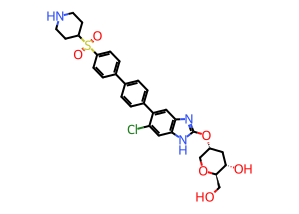 O=S(=O)(c1ccc(-c2ccc(-c3cc4nc(O[C@H]5CO[C@H](CO)[C@@H](O)C5)[nH]c4cc3Cl)cc2)cc1)C1CCNCC1